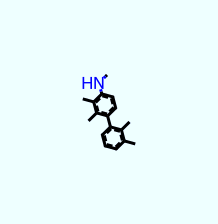 CNc1ccc(-c2cccc(C)c2C)c(C)c1C